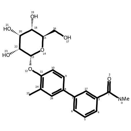 CNC(=O)c1cccc(-c2ccc(O[C@H]3O[C@H](CO)[C@@H](O)[C@@H](O)[C@H]3O)c(C)c2)c1